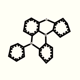 c1ccc(N2c3ccccc3B3c4ccccc4Sc4cccc2c43)cc1